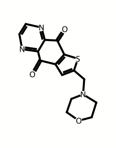 O=C1c2cc(CN3CCOCC3)sc2C(=O)c2nccnc21